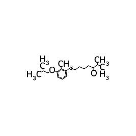 Cc1c(CCCCCC(=O)C(C)C)cccc1OCC(C)C